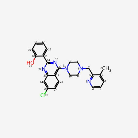 Cc1cccnc1CN1CCN(c2nc(-c3ccccc3O)nc3cc(Cl)ccc23)CC1